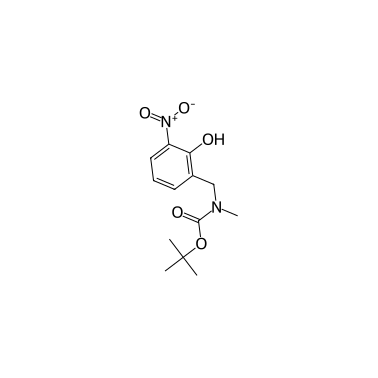 CN(Cc1cccc([N+](=O)[O-])c1O)C(=O)OC(C)(C)C